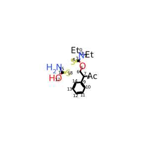 CCN(CC)C(=S)OCC(C(C)=O)c1ccccc1.NC(O)=S